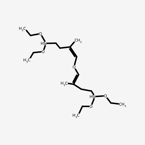 CCO[SiH](CCC(C)=COC=C(C)CC[SiH](OCC)OCC)OCC